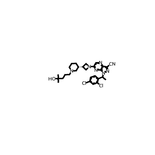 CC(c1ccc(Cl)cc1Cl)n1nc(C#N)c2ncc(N3CC([C@H]4CCCN(CCCC(C)(C)O)C4)C3)nc21